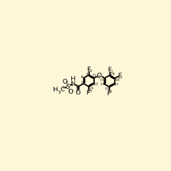 CS(=O)(=O)NC(=O)c1cc(F)c(Oc2cc(F)cc(F)c2F)cc1F